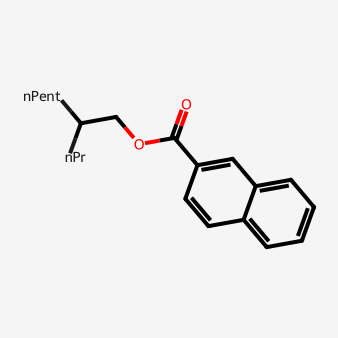 CCCCCC(CCC)COC(=O)c1ccc2ccccc2c1